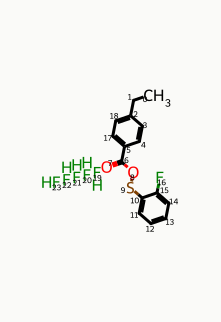 CCc1ccc(C(=O)OSc2ccccc2F)cc1.F.F.F.F.F